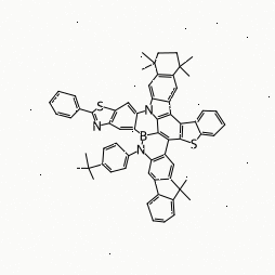 CC(C)(C)c1ccc(N2B3c4cc5nc(-c6ccccc6)sc5cc4-n4c5cc6c(cc5c5c7c(sc8ccccc87)c(c3c54)-c3cc4c(cc32)-c2ccccc2C4(C)C)C(C)(C)CCC6(C)C)cc1